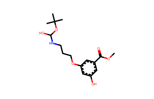 COC(=O)c1cc(O)cc(OCCCNC(O)OC(C)(C)C)c1